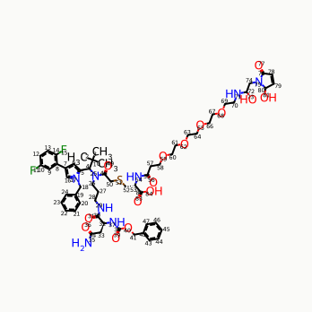 CC(C)(C)C(c1cc(-c2cc(F)ccc2F)cn1Cc1ccccc1)N(CCCNC(=O)[C@H](CC(N)=O)NC(=O)OCc1ccccc1)C(=O)CSC[C@H](NC(=O)CCOCCOCCOCCOCCNC(O)CN1C(=O)C=CC1O)C(=O)O